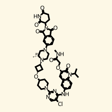 CNC(=O)COc1cc2cc(Nc3nc(N4CCC(O[C@H]5C[C@H](N6CCN(c7ccc8c(c7)C(=O)N(C7CCC(=O)NC7=O)C8=O)C[C@H]6C)C5)CC4)ncc3Cl)ccc2n(C(C)C)c1=O